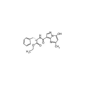 CCOC(=O)[C@H](Cc1ccccc1)NC(=O)c1cnn2c(O)cc(C)nc12